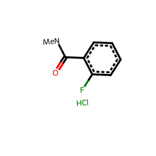 CNC(=O)c1ccccc1F.Cl